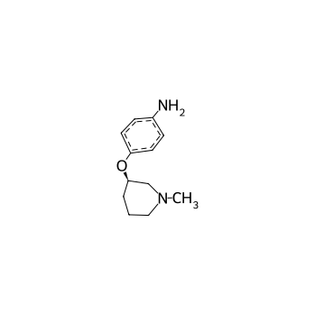 CN1CCC[C@@H](Oc2ccc(N)cc2)C1